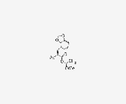 COC(C)OC(=O)/C(=C\c1cccc2c1OCO2)C(C)=O